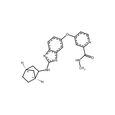 CNC(=O)c1cc(Oc2ccc3nc(NC4C[C@@H]5CC[C@H]4C5)sc3c2)ccn1